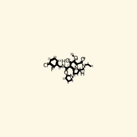 CCN1C[C@@H]2C[C@@H](N3CCCC3)c3c(C(=O)NCc4cccc(Cl)c4F)c(=O)c(OC)c(n32)C1=O